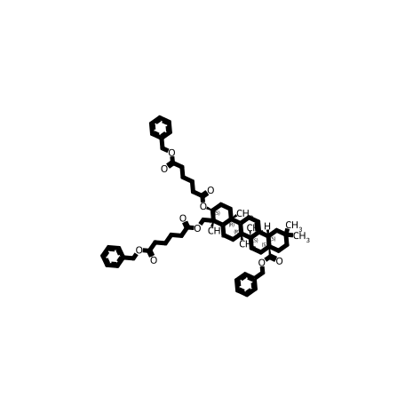 CC1(C)CC[C@]2(C(=O)OCc3ccccc3)CC[C@]3(C)C(=CCC4[C@@]5(C)CC[C@H](OC(=O)CCCCC(=O)OCc6ccccc6)[C@@](C)(COC(=O)CCCCC(=O)OCc6ccccc6)C5CC[C@]43C)[C@@H]2C1